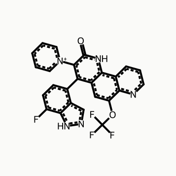 O=c1[nH]c2c(cc(OC(F)(F)F)c3ncccc32)c(-c2ccc(F)c3[nH]ncc23)c1-[n+]1ccccc1